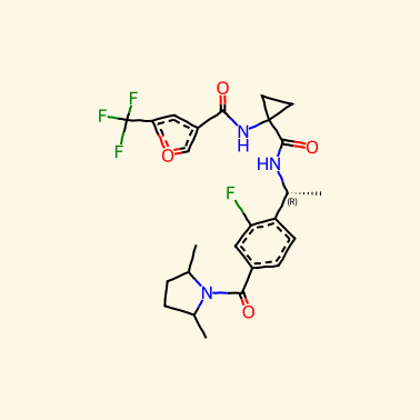 CC1CCC(C)N1C(=O)c1ccc([C@@H](C)NC(=O)C2(NC(=O)c3coc(C(F)(F)F)c3)CC2)c(F)c1